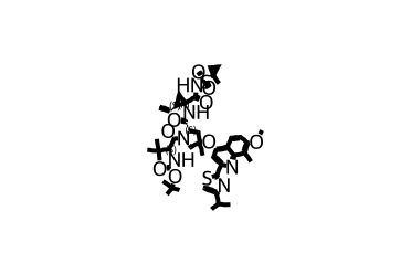 C=C[C@@H]1C[C@]1(NC(=O)[C@@H]1CC(C)(Oc2cc(-c3nc(C(C)C)cs3)nc3c(C)c(OC)ccc23)CN1C(=O)[C@@H](NC(=O)OC(C)(C)C)C(C)(C)C)C(=O)NS(=O)(=O)C1(C)CC1